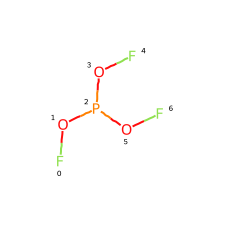 FOP(OF)OF